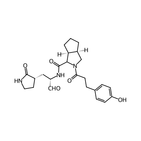 O=C[C@H](C[C@@H]1CCNC1=O)NC(=O)C1[C@H]2CCC[C@H]2CN1C(=O)CCc1ccc(O)cc1